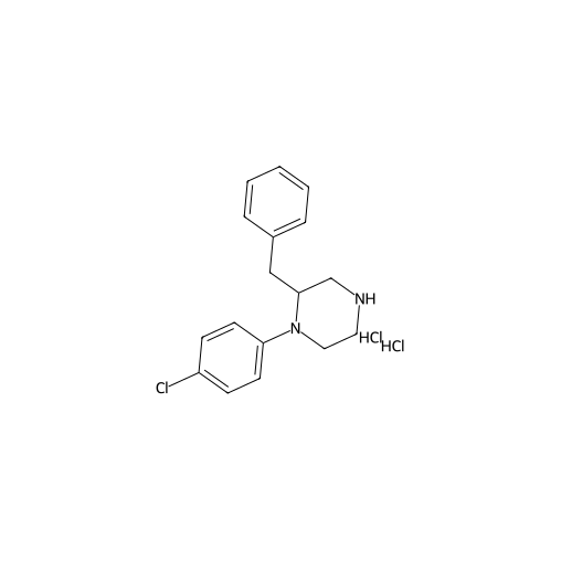 Cl.Cl.Clc1ccc(N2CCNCC2Cc2ccccc2)cc1